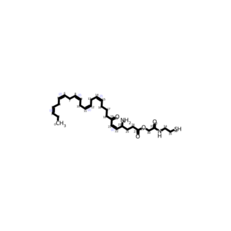 CC/C=C\C/C=C\C/C=C\C/C=C\C/C=C\CCCC(=O)/C=C\C(N)CCC(=O)OCC(=O)NCCS